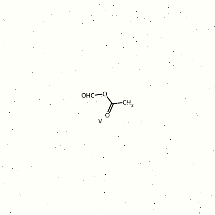 CC(=O)OC=O.[V]